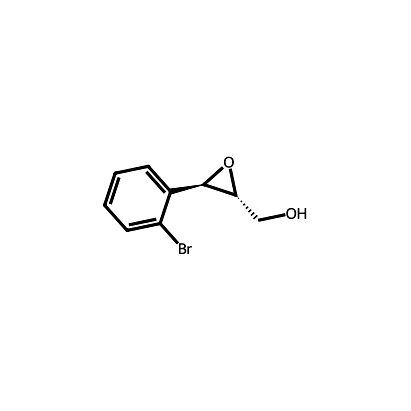 OC[C@H]1O[C@@H]1c1ccccc1Br